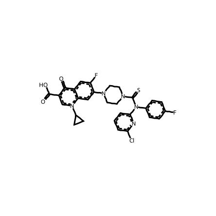 O=C(O)c1cn(C2CC2)c2cc(N3CCN(C(=S)N(c4ccc(F)cc4)c4cccc(Cl)n4)CC3)c(F)cc2c1=O